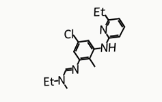 CCc1cccc(Nc2cc(Cl)cc(N=CN(C)CC)c2C)n1